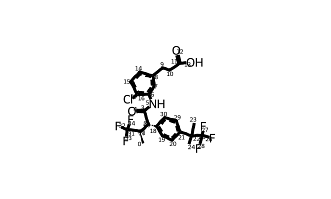 C[C@H]([C@H](C(=O)Nc1cc(CCC(=O)O)ccc1Cl)c1ccc(C(C)(C)C(F)(F)F)cc1)C(F)(F)F